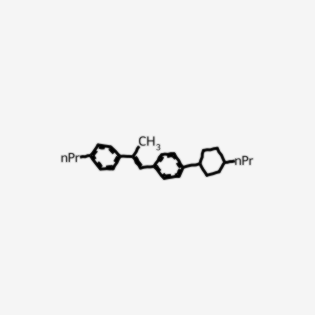 CCCc1ccc(/C(C)=C/c2ccc(C3CCC(CCC)CC3)cc2)cc1